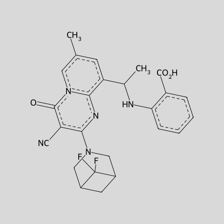 Cc1cc(C(C)Nc2ccccc2C(=O)O)c2nc(N3CC4CC(C3)C4(F)F)c(C#N)c(=O)n2c1